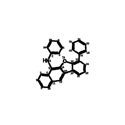 c1ccc(Nc2c3ccccc3cc3c2oc2c(-c4ccccc4)cccc23)cc1